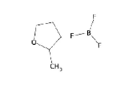 CC1CCCO1.FB(F)F